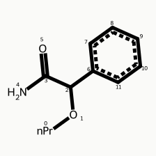 CCCOC(C(N)=O)c1ccccc1